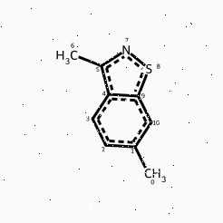 Cc1ccc2c(C)nsc2c1